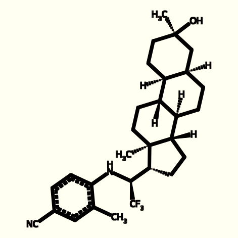 Cc1cc(C#N)ccc1N[C@@H]([C@H]1CC[C@H]2[C@@H]3CC[C@@H]4C[C@](C)(O)CC[C@@H]4[C@H]3CC[C@]12C)C(F)(F)F